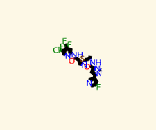 CC(NC(=O)c1cc(-c2cncc(F)c2)ncn1)c1ncc(C(=O)Nc2cc(C(F)(F)F)c(Cl)cn2)s1